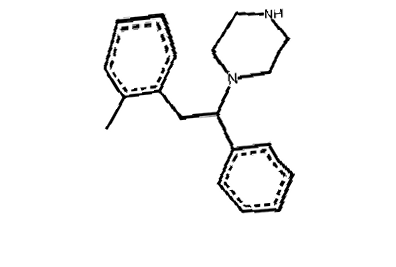 Cc1ccccc1CC(c1ccccc1)N1CCNCC1